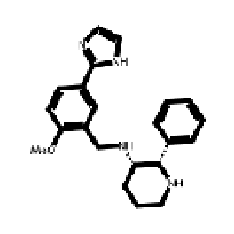 COc1ccc(-c2ncc[nH]2)cc1CN[C@H]1CCCN[C@H]1c1ccccc1